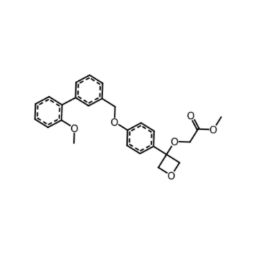 COC(=O)COC1(c2ccc(OCc3cccc(-c4ccccc4OC)c3)cc2)COC1